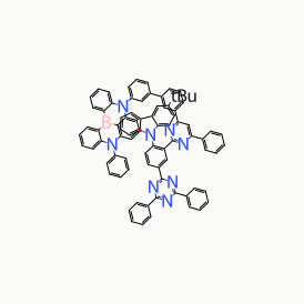 CC(C)(C)c1ccc2c(c1)c1ccccc1n2-c1ccc(-c2nc(-c3ccccc3)nc(-c3ccccc3)n2)cc1-c1nc(-c2ccccc2)cc(-c2cccc(-c3cccc(N4c5ccccc5B5c6ccccc6N(c6ccccc6)c6cccc4c65)c3)c2)n1